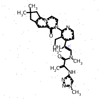 C=C(Nc1cn(C)nn1)C(=O)N(C)/C=C(\C)c1ccnc(-n2ccn3c4c(cc3c2=O)CC(C)(C)C4)c1CO